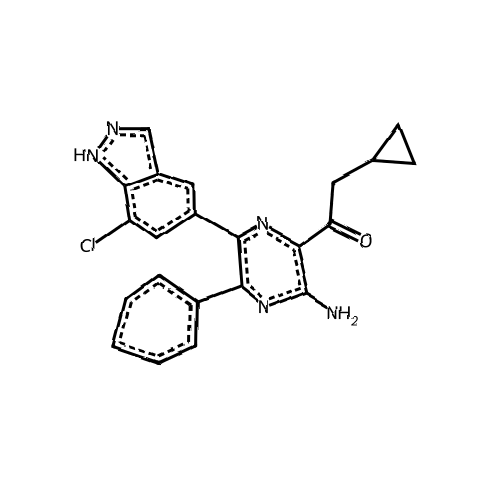 Nc1nc(-c2ccccc2)c(-c2cc(Cl)c3[nH]ncc3c2)nc1C(=O)CC1CC1